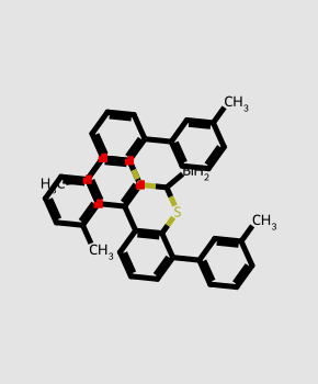 Cc1cccc(-c2cccc(-c3cccc(C)c3)c2S[CH]([BiH2])Sc2c(-c3cccc(C)c3)cccc2-c2cccc(C)c2)c1